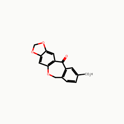 O=C(O)c1ccc2c(c1)C(=O)c1cc3c(cc1OC2)OCO3